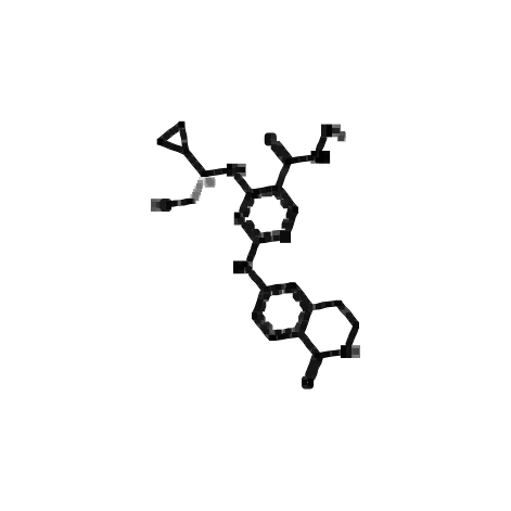 NNC(=O)c1cnc(Nc2ccc3c(c2)CCNC3=O)nc1N[C@H](CO)C1CC1